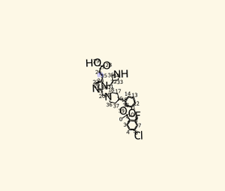 CC1(c2ccc(Cl)cc2F)Oc2cccc(C3CCN(Cc4ncc(/C=C/C(=O)O)n4CC4CNC4)CC3)c2O1